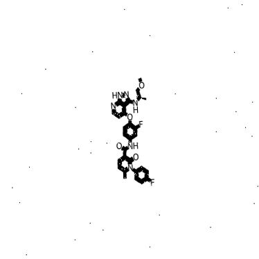 COC[C@@H](C)Nc1n[nH]c2nccc(Oc3ccc(NC(=O)c4ccc(C)n(-c5ccc(F)cc5)c4=O)cc3F)c12